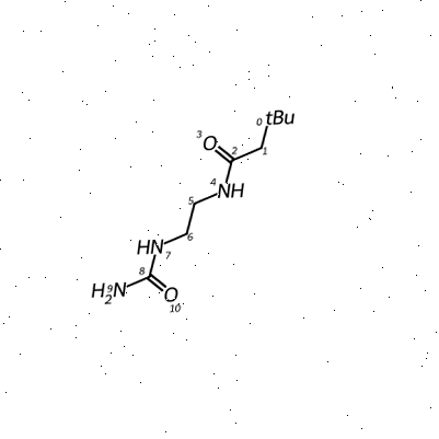 CC(C)(C)CC(=O)NCCNC(N)=O